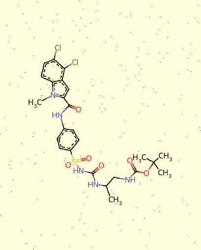 CC(CNC(=O)OC(C)(C)C)NC(=O)NS(=O)(=O)c1ccc(NC(=O)c2cc3c(Cl)c(Cl)ccc3n2C)cc1